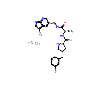 C[C@H](NC(=O)[C@H]1C[C@H](Cc2cccc(Cl)c2)CN1)C(=O)NCc1cnc2[nH]cc(Cl)c2c1.Cl.Cl